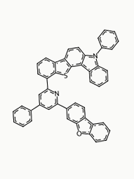 c1ccc(-c2cc(-c3ccc4c(c3)oc3ccccc34)nc(-c3cccc4c3sc3c4ccc4c3c3ccccc3n4-c3ccccc3)c2)cc1